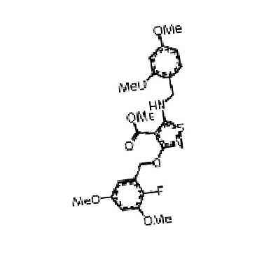 COC(=O)c1c(OCc2cc(OC)cc(OC)c2F)nsc1NCc1ccc(OC)cc1OC